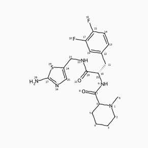 CN1CCCCC1C(=O)N[C@@H](Cc1ccc(F)c(F)c1)C(=O)NCc1cnc(N)s1